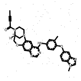 CC#CC(=O)N1CCN2C[C@@H]1COc1cc3ncnc(Nc4ccc(Oc5ccc6c(c5)ncn6C)c(C)c4)c3cc12